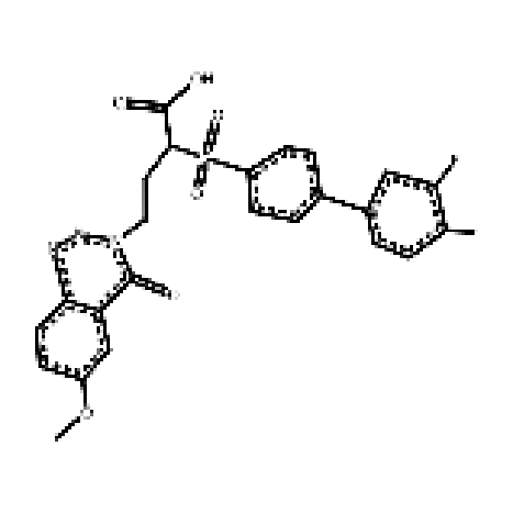 COc1ccc2nnn(CCC(C(=O)O)S(=O)(=O)c3ccc(-c4ccc(C)c(F)c4)cc3)c(=O)c2c1